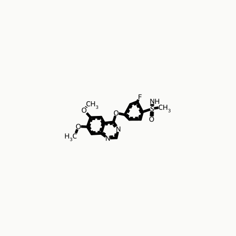 COc1cc2ncnc(Oc3ccc(S(C)(=N)=O)c(F)c3)c2cc1OC